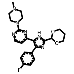 CN1CCN(c2nccc(-c3[nH]c(C4OCCCO4)nc3-c3ccc(F)cc3)n2)CC1